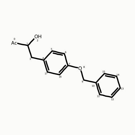 CC(=O)C(O)Cc1ccc(OCc2ccccc2)cc1